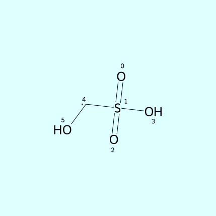 O=S(=O)(O)[CH]O